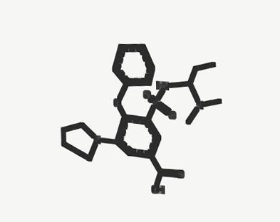 CCC(NS(=O)(=O)c1cc(C(=O)O)cc(N2CCCC2)c1Oc1ccccc1)N(C)C